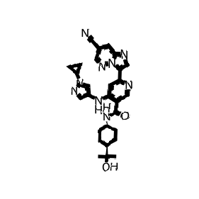 CC(C)(O)[C@H]1CC[C@H](NC(=O)c2cnc(-c3cnc4cc(C#N)cnn34)cc2Nc2cnn(C3CC3)c2)CC1